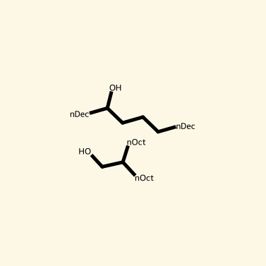 CCCCCCCCC(CO)CCCCCCCC.CCCCCCCCCCCCCC(O)CCCCCCCCCC